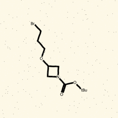 CC(C)(C)OC(=O)N1CC(OCCCBr)C1